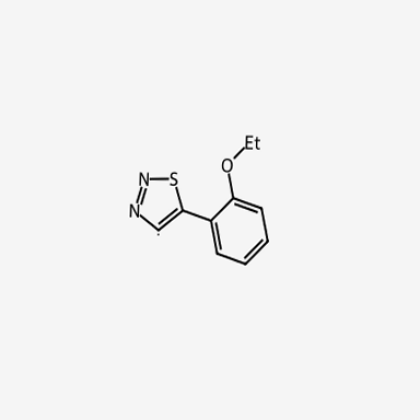 CCOc1ccccc1-c1[c]nns1